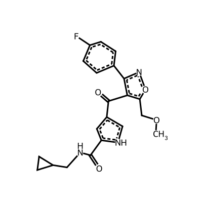 COCc1onc(-c2ccc(F)cc2)c1C(=O)c1c[nH]c(C(=O)NCC2CC2)c1